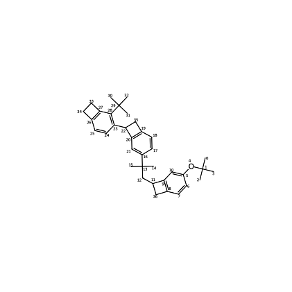 CC(C)(C)Oc1ccc2c(c1)C(CC(C)(C)c1ccc3c(c1)C(c1ccc4c(c1C(C)(C)C)CC4)C3)C2